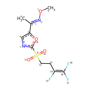 CO/N=C(\C)c1cnc(S(=O)(=O)CCC(F)=C(F)F)o1